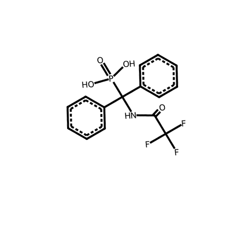 O=C(NC(c1ccccc1)(c1ccccc1)P(=O)(O)O)C(F)(F)F